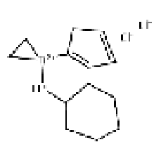 C1=CC[C]([Ti+2]2([PH]C3CCCCC3)[CH2][CH2]2)=C1.[Cl-].[Cl-]